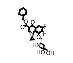 O=C(OCc1ccccc1)c1cn(C2CC2)c2c(OC[C@@H]3C[C@@](O)(CO)CN3)c(F)c(F)cc2c1=O